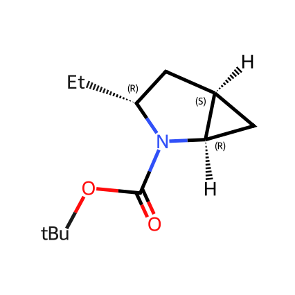 CC[C@@H]1C[C@H]2C[C@H]2N1C(=O)OC(C)(C)C